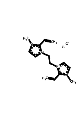 C=Cc1n(C)cc[n+]1CC[n+]1ccn(C)c1C=C.[Cl-].[Cl-]